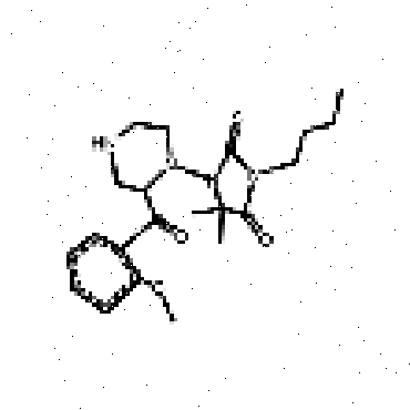 CCCCN1C(=O)C(C)(C)N(N2CCNCC2C(=O)c2ccccc2OC)C1=S